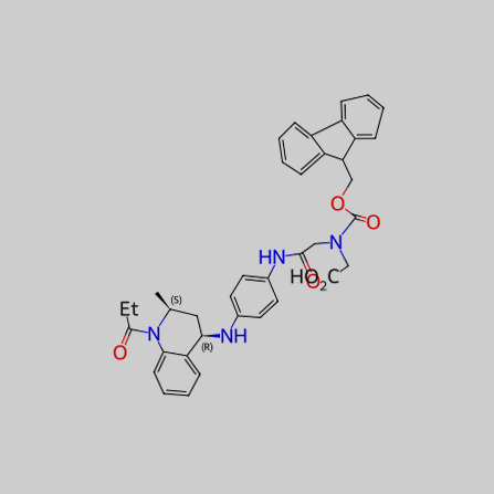 CCC(=O)N1c2ccccc2[C@H](Nc2ccc(NC(=O)CN(CC(=O)O)C(=O)OCC3c4ccccc4-c4ccccc43)cc2)C[C@@H]1C